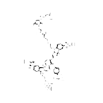 CC(=O)CCSC1CC(=O)N(CCNC(=O)CCCCC[N+]2=C(/C=C/C3=C(Oc4ccc(S(=O)(=O)O)cc4)C(=C/C=C4/N(CCCCS(=O)(=O)O)c5ccc(S(=O)(=O)O)cc5C4(C)C)/CCC3)C(C)(C)c3cc(S(=O)(=O)O)ccc32)C1=O